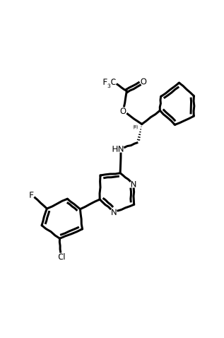 O=C(O[C@@H](CNc1cc(-c2cc(F)cc(Cl)c2)ncn1)c1ccccc1)C(F)(F)F